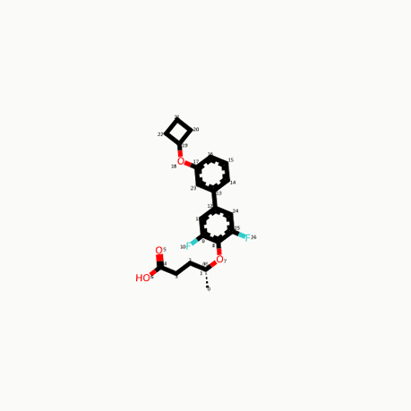 C[C@H](CCC(=O)O)Oc1c(F)cc(-c2cccc(OC3CCC3)c2)cc1F